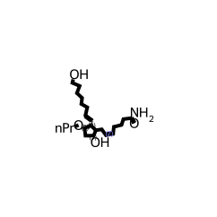 CCCO[C@@H]1C[C@H](O)C(C/C=C\CCCC(N)=O)[C@H]1C=CCCCCCCO